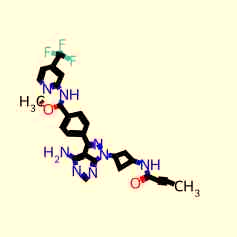 CC#CC(=O)NC1CC(n2nc(-c3ccc(C(Nc4cc(C(F)(F)F)ccn4)OC)cc3)c3c(N)ncnc32)C1